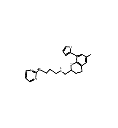 Fc1cc2c(c(-c3ccco3)c1)OC(CNCCCNc1ncccn1)CC2